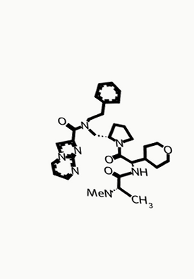 CN[C@@H](C)C(=O)N[C@H](C(=O)N1CCC[C@H]1CN(CCc1ccccc1)C(=O)c1cn2cccnc2n1)C1CCOCC1